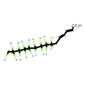 O=C(O)C=CC=CCC(F)(F)C(F)(F)C(F)(F)C(F)(F)C(F)(F)C(F)(F)C(F)(F)C(F)(F)CF